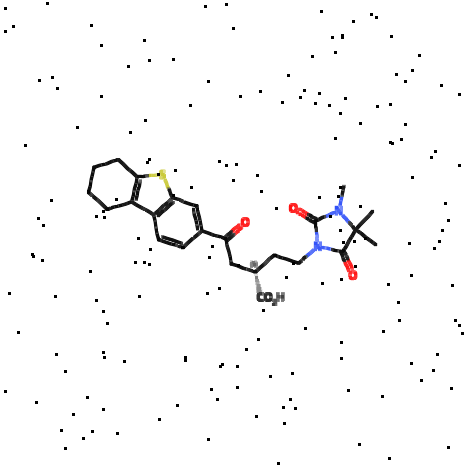 CN1C(=O)N(CC[C@@H](CC(=O)c2ccc3c4c(sc3c2)CCCC4)C(=O)O)C(=O)C1(C)C